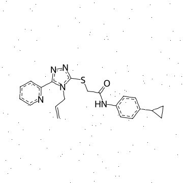 C=CCn1c(SCC(=O)Nc2ccc(C3CC3)cc2)nnc1-c1ccccn1